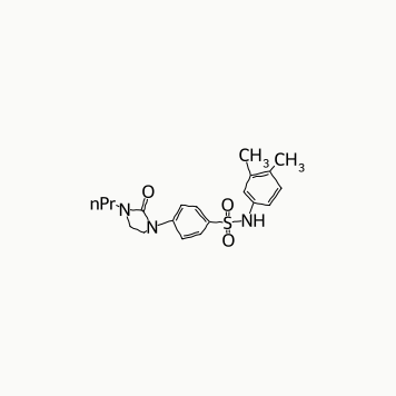 CCCN1CCN(c2ccc(S(=O)(=O)Nc3ccc(C)c(C)c3)cc2)C1=O